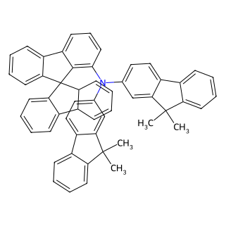 CC1(C)c2ccccc2-c2ccc(N(c3ccc4c(c3)C(C)(C)c3ccccc3-4)c3cccc4c3C3(c5ccccc5-4)c4ccccc4C4C=CC=CC43)cc21